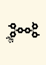 CO[Si](OC)(OC)c1ccc(N(c2ccc(-c3ccc(N(c4cccc(C)c4)c4cccc(C)c4)cc3)cc2)c2cccc(C)c2)cc1